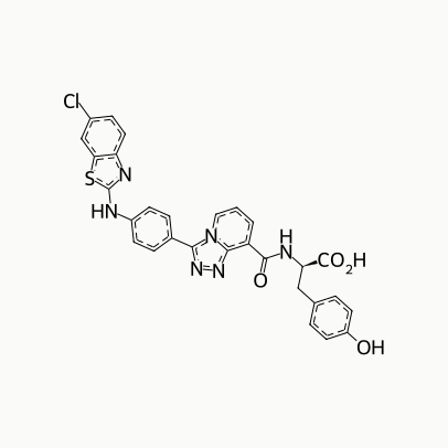 O=C(N[C@H](Cc1ccc(O)cc1)C(=O)O)c1cccn2c(-c3ccc(Nc4nc5ccc(Cl)cc5s4)cc3)nnc12